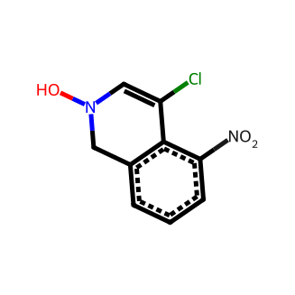 O=[N+]([O-])c1cccc2c1C(Cl)=CN(O)C2